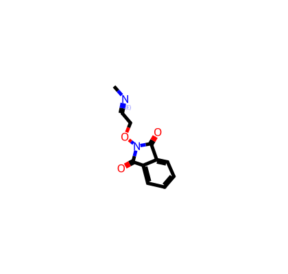 C/N=C/CON1C(=O)c2ccccc2C1=O